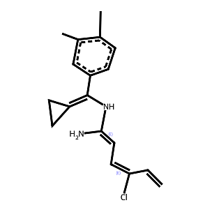 C=C/C(Cl)=C\C=C(/N)NC(=C1CC1)c1ccc(C)c(C)c1